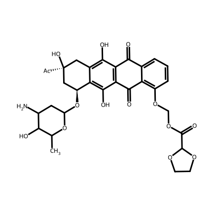 CC(=O)[C@]1(O)Cc2c(O)c3c(c(O)c2[C@@H](OC2CC(N)C(O)C(C)O2)C1)C(=O)c1c(OCOC(=O)C2OCCO2)cccc1C3=O